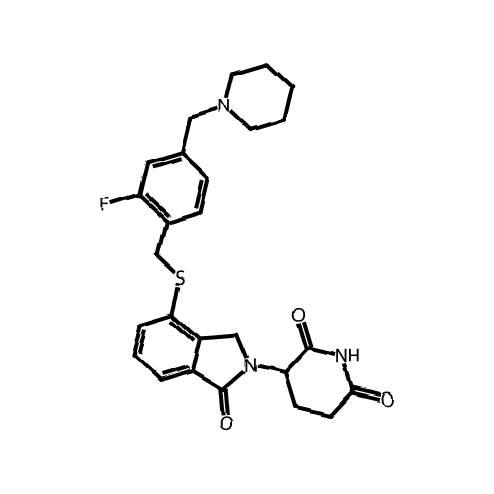 O=C1CCC(N2Cc3c(SCc4ccc(CN5CCCCC5)cc4F)cccc3C2=O)C(=O)N1